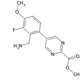 COC(=O)c1ncc(-c2ccc(OC)c(F)c2CN)cn1